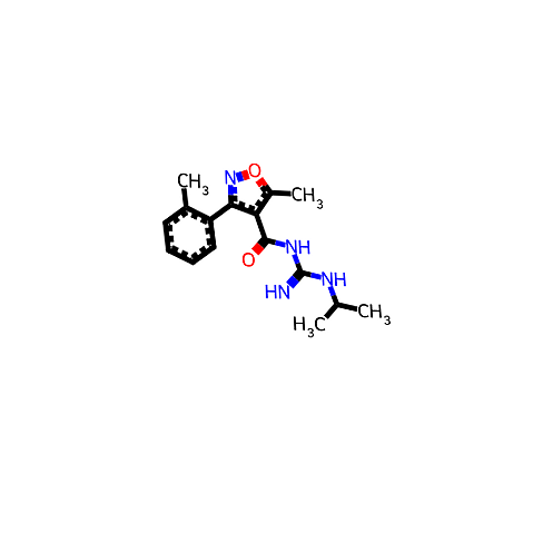 Cc1ccccc1-c1noc(C)c1C(=O)NC(=N)NC(C)C